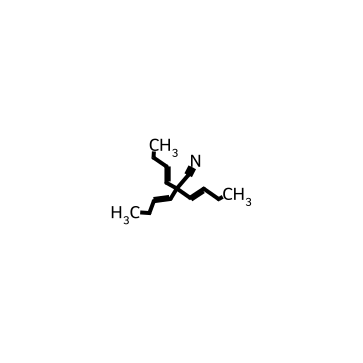 CCC=CC(C#N)(C=CCC)C=CCC